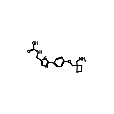 NCC1(COc2ccc(-c3ncc(CNC(=O)O)s3)cc2)CCC1